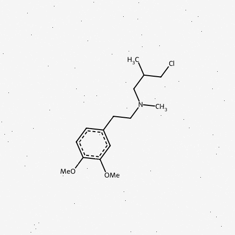 COc1ccc(CCN(C)CC(C)CCl)cc1OC